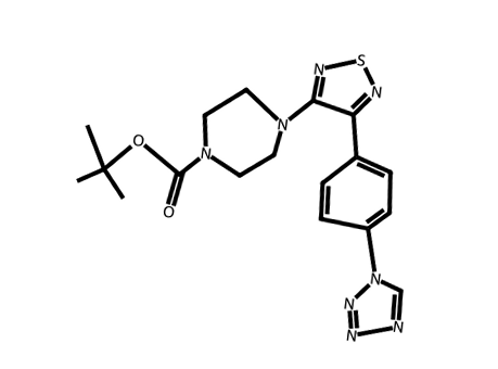 CC(C)(C)OC(=O)N1CCN(c2nsnc2-c2ccc(-n3cnnn3)cc2)CC1